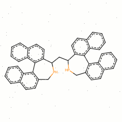 c1ccc2c3c(ccc2c1)CPC(CC1PCc2ccc4ccccc4c2-c2c1ccc1ccccc21)c1ccc2ccccc2c1-3